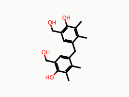 Cc1c(Cc2cc(CO)c(O)c(C)c2C)cc(CO)c(O)c1C